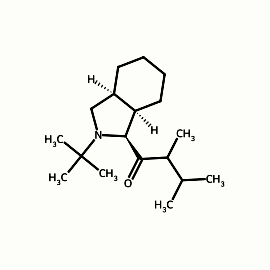 CC(C)C(C)C(=O)[C@@H]1[C@@H]2CCCC[C@@H]2CN1C(C)(C)C